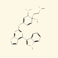 CNC1(CCN(C)C)C=CC(Nc2nc(-c3cn(C)c4ccccc34)c3cc[nH]c3n2)=CC1N(C)C